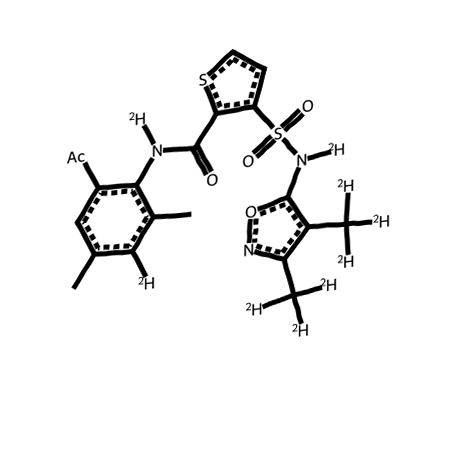 [2H]c1c(C)cc(C(C)=O)c(N([2H])C(=O)c2sccc2S(=O)(=O)N([2H])c2onc(C([2H])([2H])[2H])c2C([2H])([2H])[2H])c1C